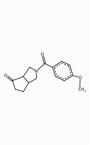 COc1ccc(C(=O)N2CC3CCC(=O)C3C2)cc1